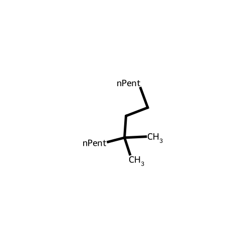 [CH2]CCCCCCC(C)(C)CCCCC